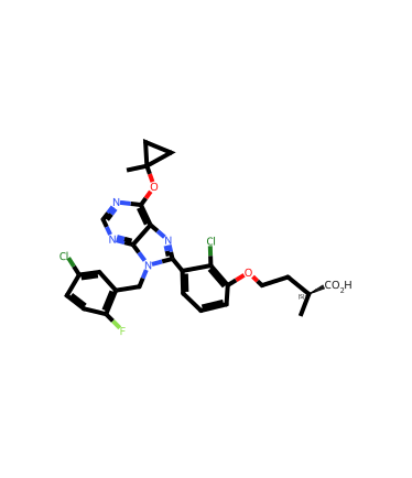 C[C@@H](CCOc1cccc(-c2nc3c(OC4(C)CC4)ncnc3n2Cc2cc(Cl)ccc2F)c1Cl)C(=O)O